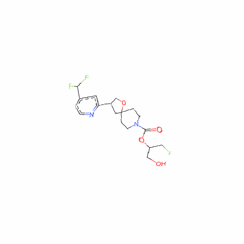 O=C(OC(CO)CF)N1CCC2(CC1)CC(c1cc(C(F)F)ccn1)CO2